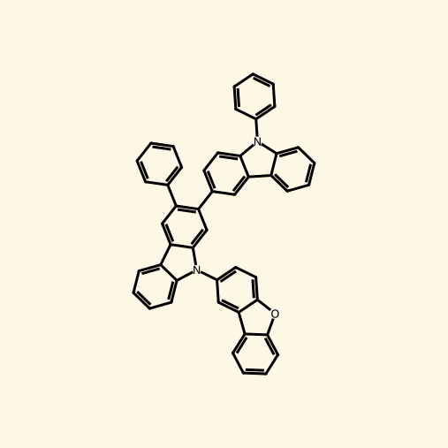 c1ccc(-c2cc3c4ccccc4n(-c4ccc5oc6ccccc6c5c4)c3cc2-c2ccc3c(c2)c2ccccc2n3-c2ccccc2)cc1